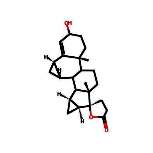 C[C@]12CCC(O)C=C1[C@@H]1C[C@@H]1C1C2CC[C@@]2(C)C1[C@@H]1C[C@@H]1[C@@]21CCC(=O)O1